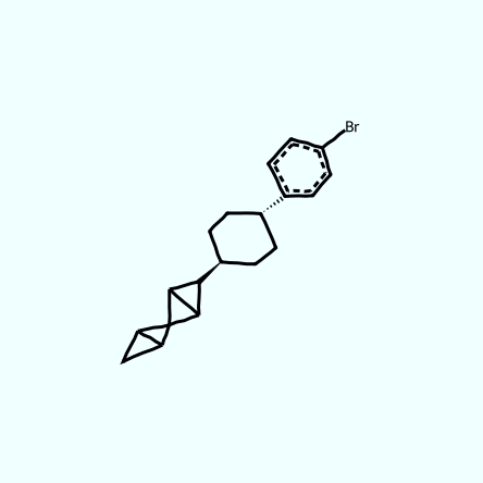 Brc1ccc([C@H]2CC[C@H](C3C4C3C43C4CC43)CC2)cc1